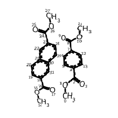 COC(=O)c1ccc(C(=O)OC)cc1.COC(=O)c1ccc2cc(C(=O)OC)ccc2c1